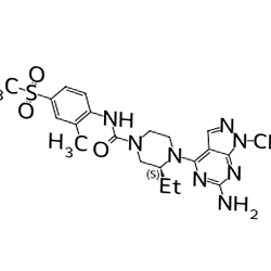 CC[C@H]1CN(C(=O)Nc2ccc(S(C)(=O)=O)cc2C)CCN1c1nc(N)nc2c1cnn2C